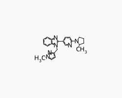 CC1CCCN1c1ccc(-c2nc3ccccc3n2Cc2ccn(C)n2)cn1